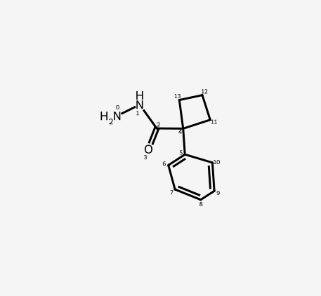 NNC(=O)C1(c2ccccc2)CCC1